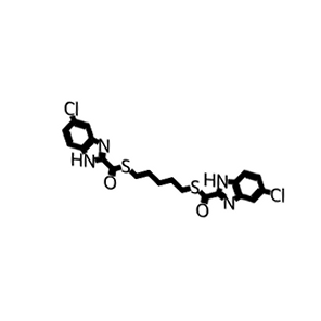 O=C(SCCCCCSC(=O)c1nc2cc(Cl)ccc2[nH]1)c1nc2cc(Cl)ccc2[nH]1